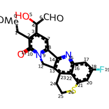 COCc1c(C(O)C=O)cc2n(c1=O)Cc1c-2nc2cc(F)cc3c2c1CCS3